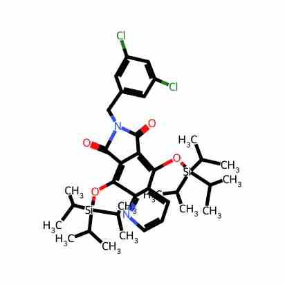 CC(C)[Si](Oc1c2c(c(O[Si](C(C)C)(C(C)C)C(C)C)c3ncccc13)C(=O)N(Cc1cc(Cl)cc(Cl)c1)C2=O)(C(C)C)C(C)C